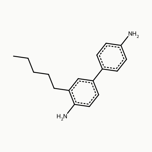 CCCCCc1cc(-c2ccc(N)cc2)ccc1N